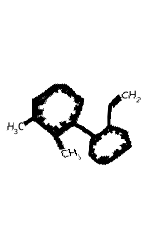 C=Cc1ccccc1-c1cccc(C)c1C